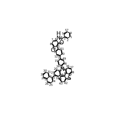 c1ccc(C2Nc3ccc4oc5cc(-c6ccc(N(c7ccc(-c8cccc9ccccc89)cc7)c7cccc8sc9ccccc9c78)cc6)ccc5c4c3O2)cc1